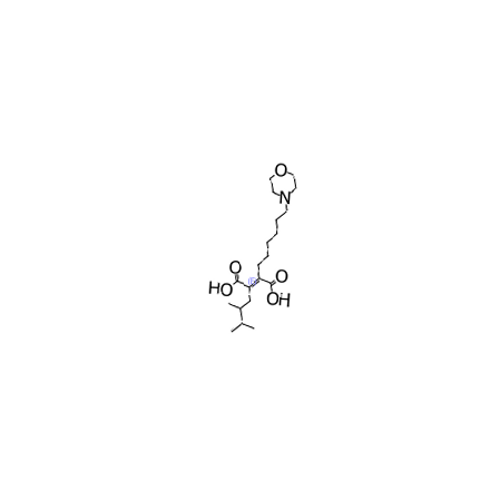 CC(C)C(C)C/C(C(=O)O)=C(/CCCCCCN1CCOCC1)C(=O)O